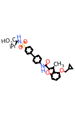 Cc1c(C(=O)Nc2ccc(-c3ccc(S(=O)(=O)N[C@H](C(=O)O)C(C)C)cc3)cc2)oc2cccc(OCC3CC3)c12